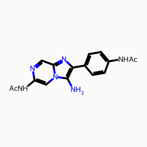 CC(=O)Nc1ccc(-c2nc3cnc(NC(C)=O)cn3c2N)cc1